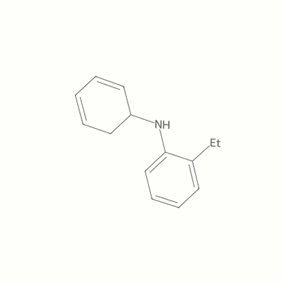 CCc1ccccc1NC1C=CC=CC1